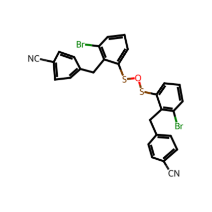 N#Cc1ccc(Cc2c(Br)cccc2SOSc2cccc(Br)c2Cc2ccc(C#N)cc2)cc1